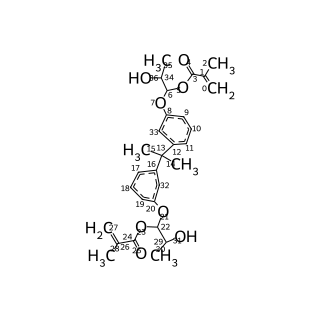 C=C(C)C(=O)OC(Oc1cccc(C(C)(C)c2cccc(OC(OC(=O)C(=C)C)C(C)O)c2)c1)C(C)O